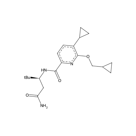 CC(C)(C)[C@H](CC(N)=O)NC(=O)c1ccc(C2CC2)c(OCC2CC2)n1